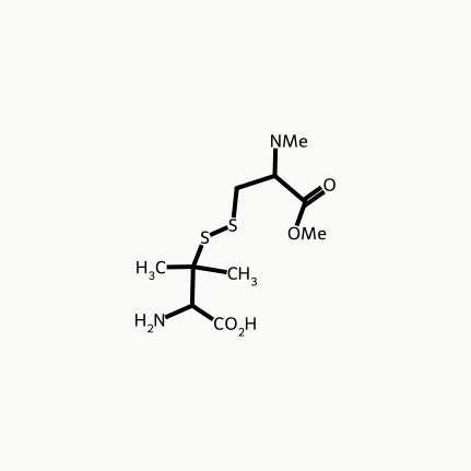 CNC(CSSC(C)(C)C(N)C(=O)O)C(=O)OC